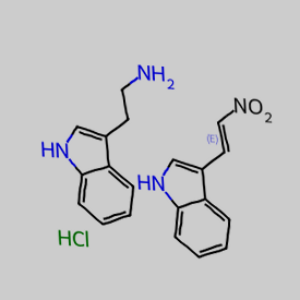 Cl.NCCc1c[nH]c2ccccc12.O=[N+]([O-])/C=C/c1c[nH]c2ccccc12